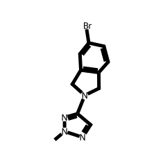 Cn1ncc(N2Cc3ccc(Br)cc3C2)n1